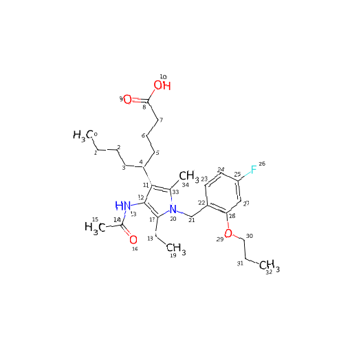 CCCCC(CCCC(=O)O)c1c(NC(C)=O)c(CC)n(Cc2ccc(F)cc2OCCC)c1C